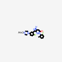 CON1CCN(c2ccc(F)c(-c3n[nH]c4cc(=O)n(-c5c(C)cccc5F)nc34)c2)CC1